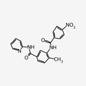 Cc1ccc(C(=O)Nc2ccccn2)cc1NC(=O)c1ccc([N+](=O)[O-])cc1